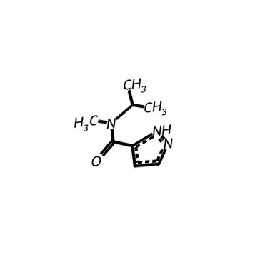 CC(C)N(C)C(=O)c1ccn[nH]1